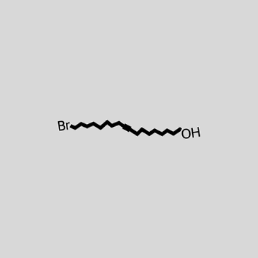 OCCCCCCCCC#CCCCCCCCCBr